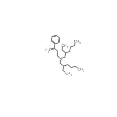 C=C(CCN(CC(CC)CCCC)CC(CC)CCCC)c1ccccc1